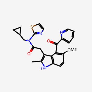 COc1ccc2[nH]c(C)c(CC(=O)N(CC3CC3)c3nccs3)c2c1C(=O)c1ccccn1